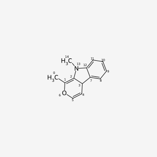 CC1=C2C(C=CO1)c1ccccc1N2C